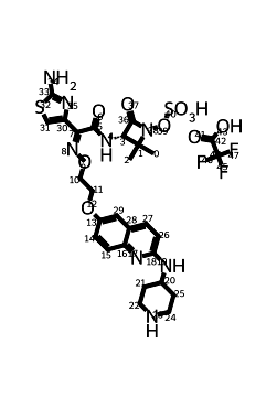 CC1(C)[C@H](NC(=O)/C(=N\OCCOc2ccc3nc(NC4CCNCC4)ccc3c2)c2csc(N)n2)C(=O)N1OS(=O)(=O)O.O=C(O)C(F)(F)F